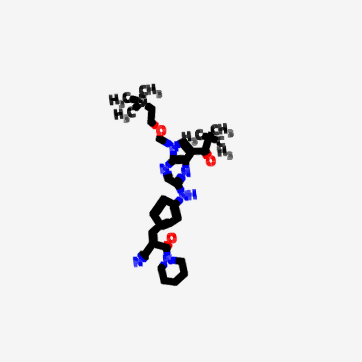 CC(C)(C)C(=O)c1cn(COCC[Si](C)(C)C)c2ncc(Nc3ccc(/C=C(/C#N)C(=O)N4CCCCC4)cc3)nc12